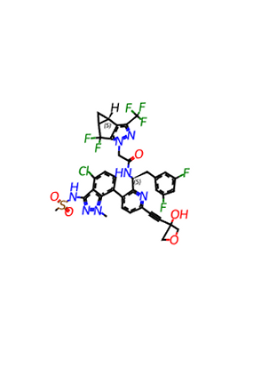 Cn1nc(NS(C)(=O)=O)c2c(Cl)ccc(-c3ccc(C#CC4(O)COC4)nc3[C@H](Cc3cc(F)cc(F)c3)NC(=O)Cn3nc(C(F)(F)F)c4c3C(F)(F)C3C[C@H]43)c21